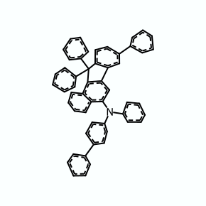 c1ccc(-c2ccc(N(c3ccccc3)c3cc4c(c5ccccc35)C(c3ccccc3)(c3ccccc3)c3ccc(-c5ccccc5)cc3-4)cc2)cc1